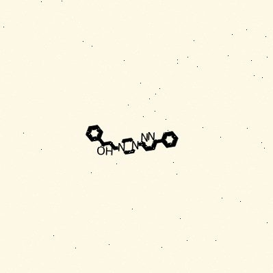 OC(CCN1CCN(c2ccc(-c3ccccc3)nn2)CC1)c1ccccc1